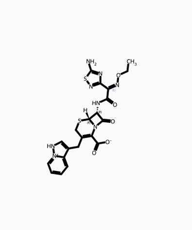 CCO/N=C(/C(=O)N[C@@H]1C(=O)N2C(C(=O)[O-])=C(Cc3c[nH][n+]4ccccc34)CS[C@H]12)c1nsc(N)n1